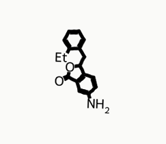 CCc1ccccc1CC1OC(=O)c2cc(N)ccc21